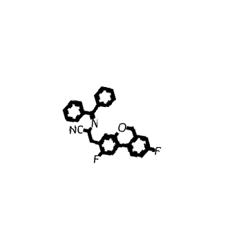 N#CC(Cc1cc2c(cc1F)-c1ccc(F)cc1CO2)N=C(c1ccccc1)c1ccccc1